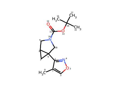 Cc1conc1C12CC1CN(C(=O)OC(C)(C)C)C2